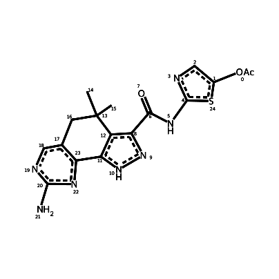 CC(=O)Oc1cnc(NC(=O)c2n[nH]c3c2C(C)(C)Cc2cnc(N)nc2-3)s1